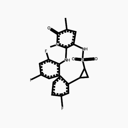 Cc1cc(NS(=O)(=O)C2CC2c2cccc(F)c2)c(Nc2ccc(I)cc2F)n(C)c1=O